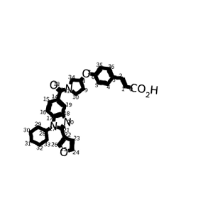 O=C(O)C=Cc1ccc(OC2CCN(C(=O)c3ccc4c(c3)nc(-c3ccoc3)n4C3CCCCC3)C2)cc1